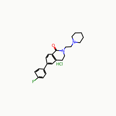 Cl.O=C1c2ccc(-c3ccc(F)cc3)cc2CCN1CCN1CCCCC1